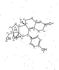 C[C@]12C[C@H](c3ccc(O)cc3)C3=C4CCC(=O)C=C4CC[C@H]3[C@@H]1CC[C@@]2(O)CC#N